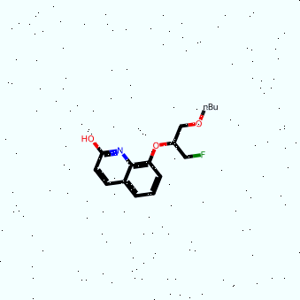 CCCCOCC(CF)Oc1cccc2ccc(O)nc12